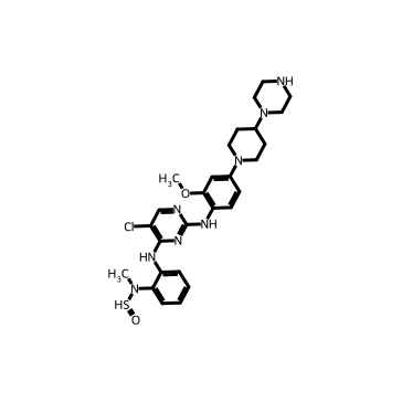 COc1cc(N2CCC(N3CCNCC3)CC2)ccc1Nc1ncc(Cl)c(Nc2ccccc2N(C)[SH]=O)n1